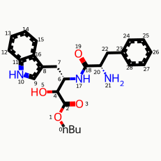 CCCCOC(=O)C(O)[C@H](Cc1c[nH]c2ccccc12)NC(=O)[C@@H](N)Cc1ccccc1